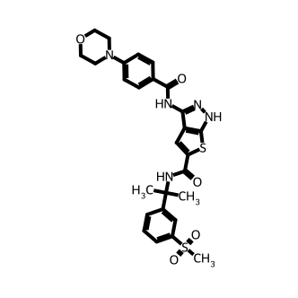 CC(C)(NC(=O)c1cc2c(NC(=O)c3ccc(N4CCOCC4)cc3)n[nH]c2s1)c1cccc(S(C)(=O)=O)c1